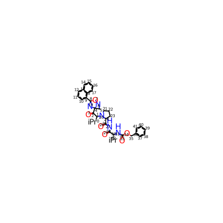 CC(C)C(C(=O)C12CN1OC(c1cccc3ccccc13)=N2)N1CCC[C@H]1C(=O)NC(=O)[C@@H](NC(=O)OCc1ccccc1)C(C)C